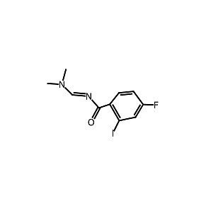 CN(C)/C=N/C(=O)c1ccc(F)cc1I